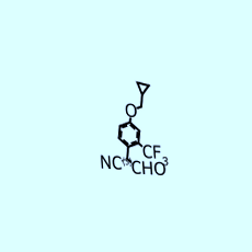 N#C[C@@H](C=O)c1ccc(OCC2CC2)cc1C(F)(F)F